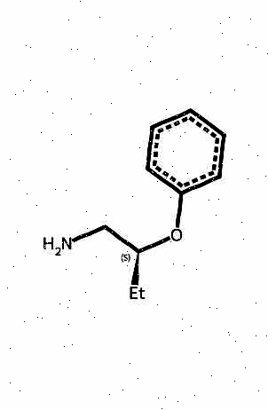 CC[C@@H](CN)Oc1ccccc1